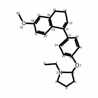 CCN1CCCC1Oc1ccc(C2=CCCc3cc(OC)ccc32)cc1